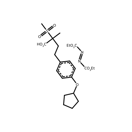 CC(CCc1ccc(OC2CCCC2)cc1)(C(=O)O)S(C)(=O)=O.CCOC(=O)N=NC(=O)OCC